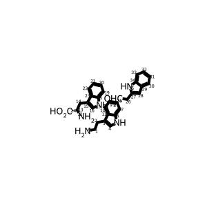 NCCc1c[nH]c2ccccc12.N[C@@H](Cc1c[nH]c2ccccc12)C(=O)O.O=CCc1cc2ccccc2[nH]1